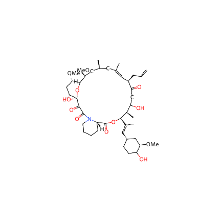 C=CC[C@@H]1/C=C(\C)C[C@H](C)C[C@H](OC)[C@H]2O[C@@](O)(C(=O)C(=O)N3CCCC[C@H]3C(=O)O[C@H](/C(C)=C/[C@@H]3CCC(O)[C@H](OC)C3)[C@H](C)C(O)CC1=O)[C@H](C)C[C@@H]2OC